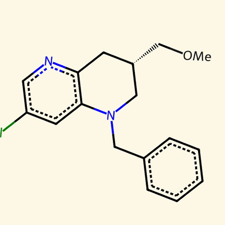 COC[C@H]1Cc2ncc(Cl)cc2N(Cc2ccccc2)C1